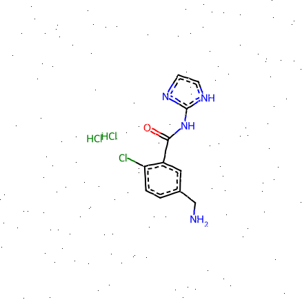 Cl.Cl.NCc1ccc(Cl)c(C(=O)Nc2ncc[nH]2)c1